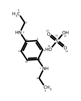 CCNc1ccc(NCC)cc1.O=S(=O)(O)O